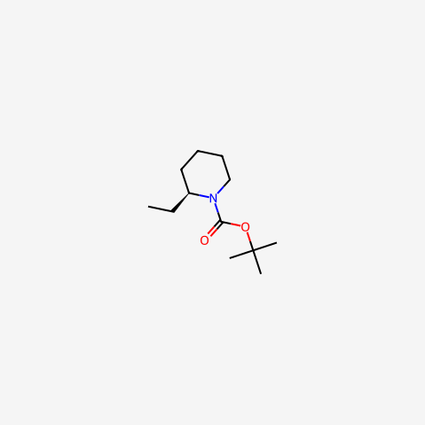 CC[C@H]1CCCCN1C(=O)OC(C)(C)C